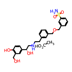 CC(=O)O.NS(=O)(=O)c1cccc(COCc2cccc(CCNC[C@H](O)c3ccc(O)c(CO)c3)c2)c1